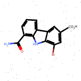 NC(=O)c1cccc2c1[nH]c1c(Br)cc(C(=O)O)cc12